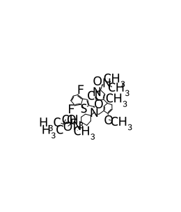 COC1=CCC(C)(c2ccnc(C(=O)N(C)C)c2)C=C1CN(C(=O)c1sc2c(F)ccc(F)c2c1Cl)[C@H]1CC[C@H](N(C)C(=O)OC(C)(C)C)CC1